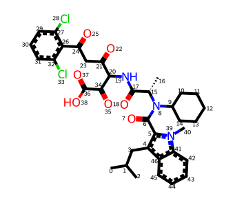 CC(C)Cc1c(C(=O)N(C2CCCCC2)[C@@H](C)C(=O)NC(C(=O)CC(=O)c2c(Cl)cccc2Cl)C(=O)C(=O)O)n(C)c2ccccc12